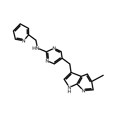 Cc1cnc2[nH]cc(Cc3cnc(NCc4ccccn4)nc3)c2c1